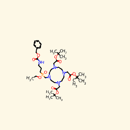 CCOP(=O)(CCCNC(=O)OCc1ccccc1)CN1CCN(CC(=O)OC(C)(C)C)CCN(CC(=O)OC(C)(C)C)CCN(CC(=O)OC(C)(C)C)CC1